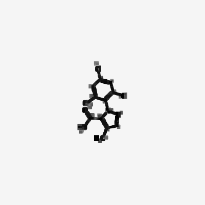 Cc1cnn(-c2c(Cl)cc(Cl)cc2Cl)c1C(=O)O